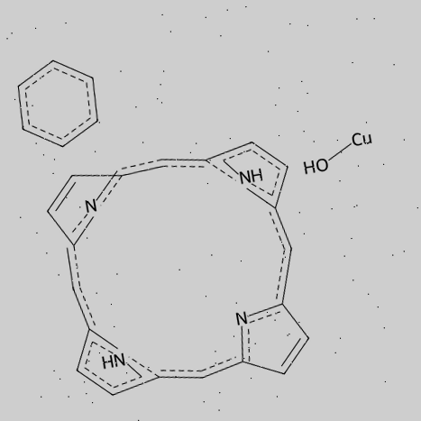 C1=Cc2cc3ccc(cc4nc(cc5ccc(cc1n2)[nH]5)C=C4)[nH]3.[OH][Cu].c1ccccc1